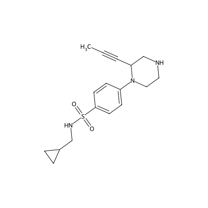 CC#CC1CNCCN1c1ccc(S(=O)(=O)NCC2CC2)cc1